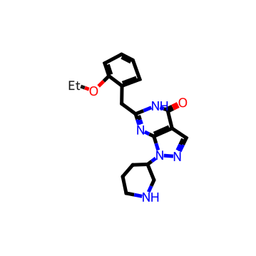 CCOc1ccccc1Cc1nc2c(cnn2C2CCCNC2)c(=O)[nH]1